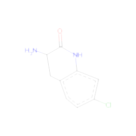 NC1Cc2ccc(Cl)cc2NC1=O